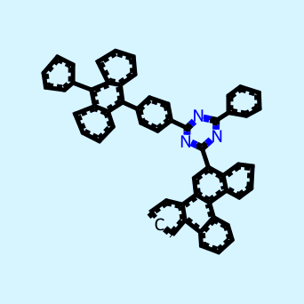 c1ccc(-c2nc(-c3ccc(-c4c5ccccc5c(-c5ccccc5)c5ccccc45)cc3)nc(-c3cc4c5ccccc5c5ccccc5c4c4ccccc34)n2)cc1